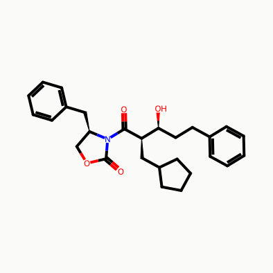 O=C1OC[C@@H](Cc2ccccc2)N1C(=O)[C@H](CC1CCCC1)[C@@H](O)CCc1ccccc1